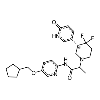 CC(C(=O)Nc1ccc(OCC2CCCC2)cn1)N1CCC(F)(F)[C@@H](c2ccc(=O)[nH]c2)C1